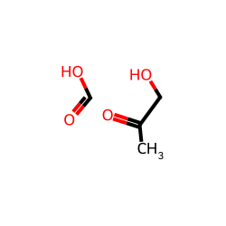 CC(=O)CO.O=CO